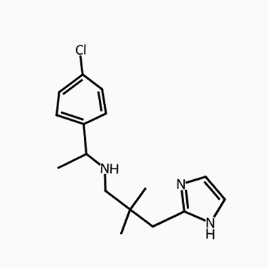 CC(NCC(C)(C)Cc1ncc[nH]1)c1ccc(Cl)cc1